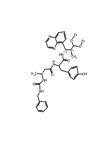 CCOC(OCC)[C@@H](C)[C@H](NC(=O)C(Cc1ccc(O)cc1)NC(=O)CN(C)NC(=O)NCc1ccccc1)c1cccc2nccnc12